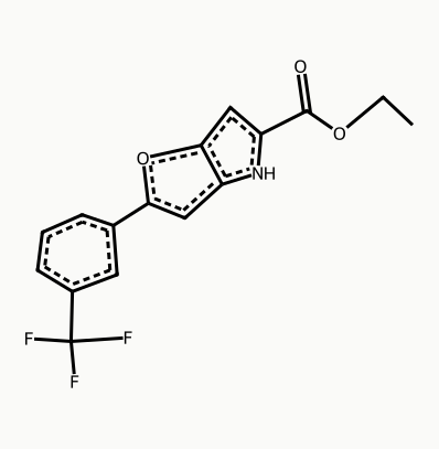 CCOC(=O)c1cc2oc(-c3cccc(C(F)(F)F)c3)cc2[nH]1